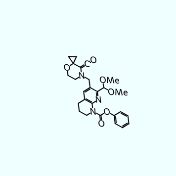 COC(OC)c1nc2c(cc1CN1CCOC3(CC3)C1=C=O)CCCN2C(=O)Oc1ccccc1